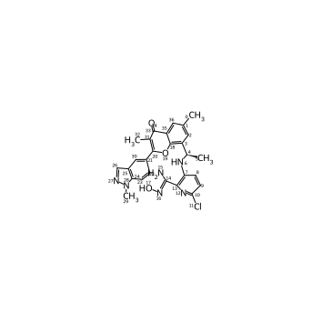 Cc1cc([C@@H](C)Nc2ccc(Cl)nc2/C(N)=N/O)c2oc(-c3ccc4c(cnn4C)c3)c(C)c(=O)c2c1